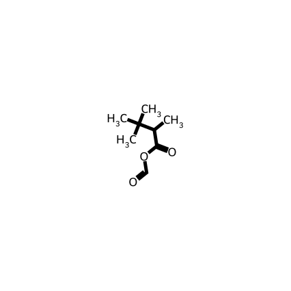 CC(C(=O)OC=O)C(C)(C)C